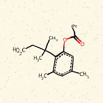 Cc1cc(C)c(C(C)(C)CC(=O)O)c(OC(=O)C(C)C)c1